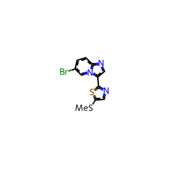 CSc1cnc(-c2cnc3ccc(Br)cn23)s1